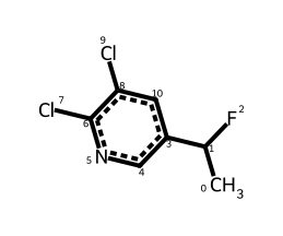 CC(F)c1cnc(Cl)c(Cl)c1